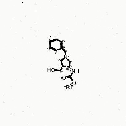 CC(C)(C)OC(=O)N[C@H]1CN(Cc2ccccc2)CC1CO